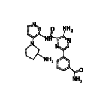 NC(=O)c1cccc(-c2cnc(N)c(C(=O)Nc3cnccc3N3CCCC(N)C3)n2)c1